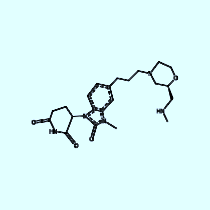 CNC[C@H]1CN(CCCc2ccc3c(c2)n(C)c(=O)n3C2CCC(=O)NC2=O)CCO1